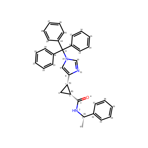 C[C@H](NC(=O)[C@@H]1C[C@@H]1c1cn(C(c2ccccc2)(c2ccccc2)c2ccccc2)cn1)c1ccccc1